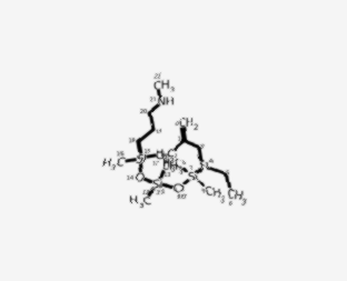 C=C(C)CN(CC)[Si](C)(C)O[Si](C)(C)O[Si](C)(C)CCCNC